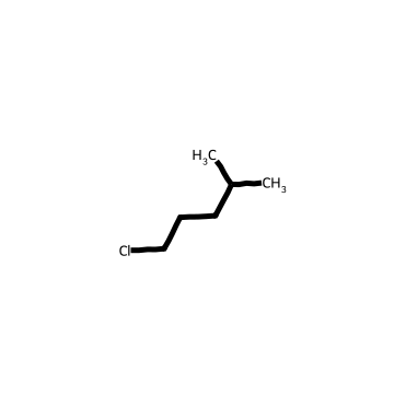 CC(C)CCCCl